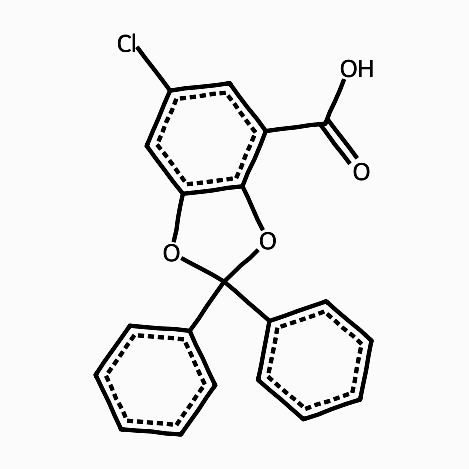 O=C(O)c1cc(Cl)cc2c1OC(c1ccccc1)(c1ccccc1)O2